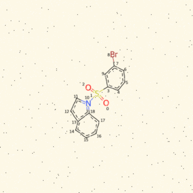 O=S(=O)(c1cccc(Br)c1)n1ccc2ccccc21